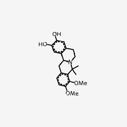 COc1ccc2c(c1OC)C(C)(C)N1CCc3cc(O)c(O)cc3C1C2